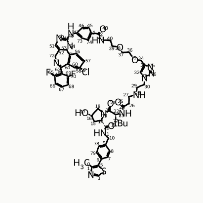 Cc1ncsc1-c1ccc(CNC(=O)[C@@H]2C[C@@H](O)CN2C(=O)[C@@H](NC(=O)CCNCCn2cc(COCCOCCNC(=O)c3ccc(Nc4ncc5c(n4)-c4ccc(Cl)cc4C(c4c(F)cccc4F)=NC5)cc3)nn2)C(C)(C)C)cc1